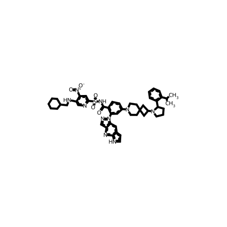 CC(C)c1ccccc1C1CCCN1C1CC2(CCN(c3ccc(C(=O)NS(=O)(=O)c4cc([N+](=O)[O-])c(NCC5CCCCC5)cn4)c(-n4ncc5nc6[nH]ccc6cc54)c3)CC2)C1